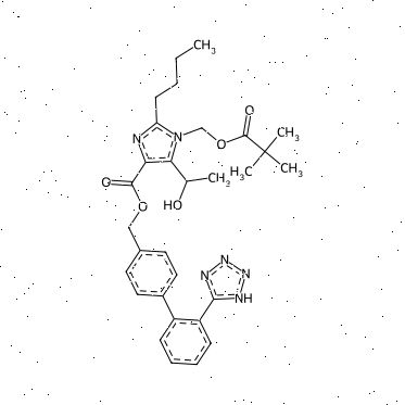 CCCCc1nc(C(=O)OCc2ccc(-c3ccccc3-c3nnn[nH]3)cc2)c(C(C)O)n1COC(=O)C(C)(C)C